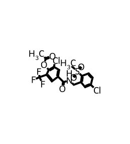 CCS(=O)(=O)c1ccc(Cl)cc1CNC(=O)c1cc(Cl)c(OC(C)=O)c(C(F)(F)F)c1